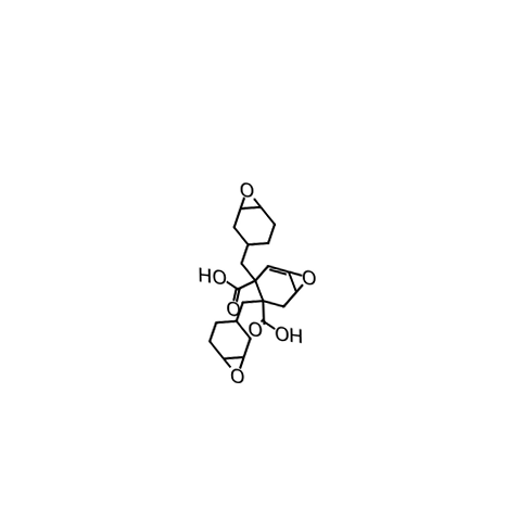 O=C(O)C1(CC2CCC3OC3C2)C=C2OC2CC1(CC1CCC2OC2C1)C(=O)O